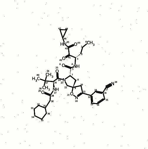 CCC[C@H](NC(=O)[C@@H]1C[C@]2(CC(c3cccc(C#N)c3)=NO2)CN1C(=O)[C@@H](NC(=O)CC1CCCCC1)C(C)(C)C)C(=O)C(=O)NC1CC1